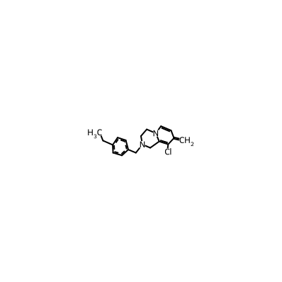 C=C1C=CN2CCN(Cc3ccc(CC)cc3)CC2=C1Cl